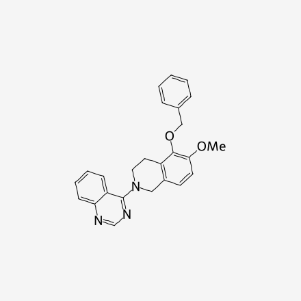 COc1ccc2c(c1OCc1ccccc1)CCN(c1ncnc3ccccc13)C2